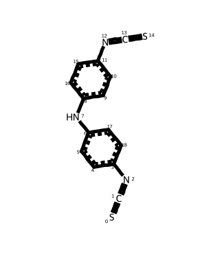 S=C=Nc1ccc(Nc2ccc(N=C=S)cc2)cc1